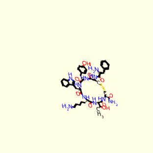 C[C@@H](O)[C@@H]1NC(=O)[C@H](CCCCCN)NC(=O)[C@@H](Cc2c[nH]c3ccccc23)NC(=O)[C@H](Cc2ccc(O)cc2)NC(=O)[C@@H](NC(=O)[C@H](N)Cc2ccccc2)CSSC[C@@H](C(N)=O)NC1=O